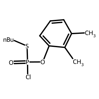 CCCCSP(=O)(Cl)Oc1cccc(C)c1C